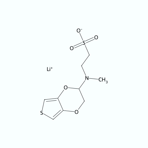 CN(CCS(=O)(=O)[O-])C1COc2cscc2O1.[Li+]